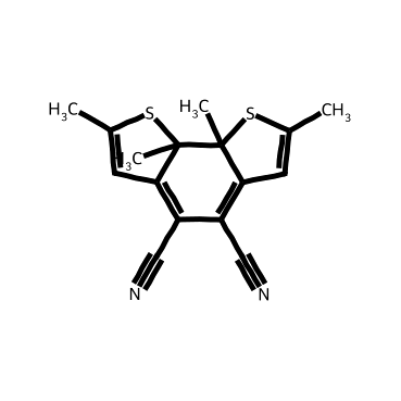 CC1=CC2=C(C#N)C(C#N)=C3C=C(C)SC3(C)C2(C)S1